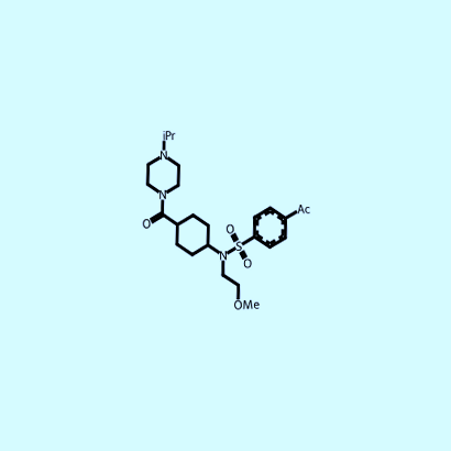 COCCN(C1CCC(C(=O)N2CCN(C(C)C)CC2)CC1)S(=O)(=O)c1ccc(C(C)=O)cc1